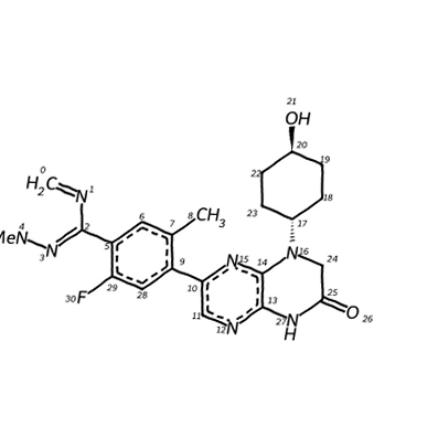 C=N/C(=N\NC)c1cc(C)c(-c2cnc3c(n2)N([C@H]2CC[C@H](O)CC2)CC(=O)N3)cc1F